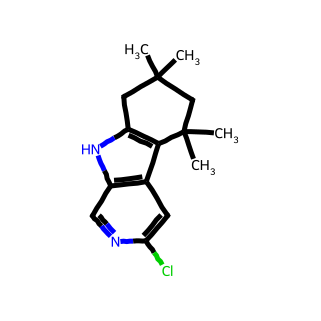 CC1(C)Cc2[nH]c3cnc(Cl)cc3c2C(C)(C)C1